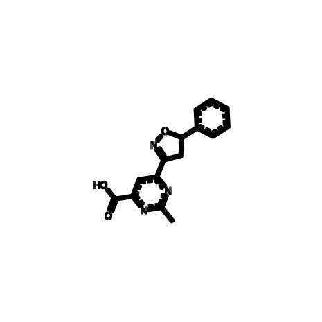 Cc1nc(C(=O)O)cc(C2=NOC(c3ccccc3)C2)n1